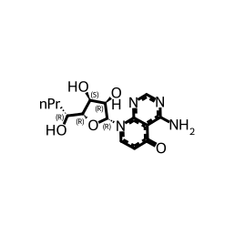 CCC[C@@H](O)[C@H]1O[C@@H](n2ccc(=O)c3c(N)ncnc32)[C@H](O)[C@@H]1O